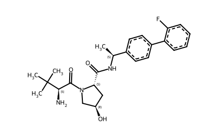 C[C@H](NC(=O)[C@@H]1C[C@@H](O)CN1C(=O)[C@@H](N)C(C)(C)C)c1ccc(-c2ccccc2F)cc1